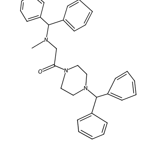 CN(CC(=O)N1CCN(C(c2ccccc2)c2ccccc2)CC1)C(c1ccccc1)c1ccccc1